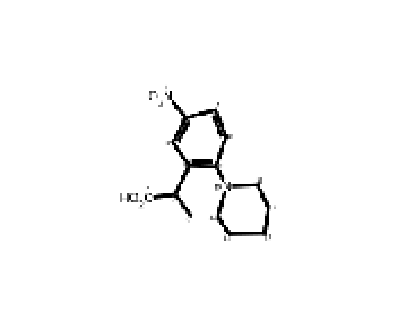 CC(C(=O)O)c1cc([N+](=O)[O-])ccc1N1CCCCC1